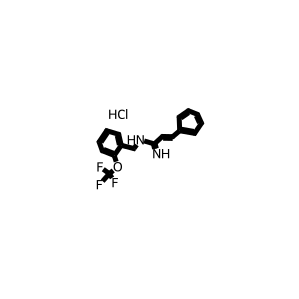 Cl.N=C(/C=C/c1ccccc1)NCc1ccccc1OC(F)(F)F